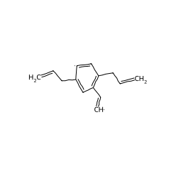 [CH]=Cc1cc(CC=C)[c]cc1CC=C